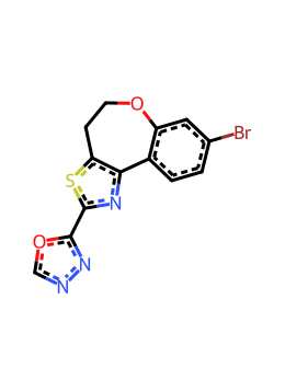 Brc1ccc2c(c1)OCCc1sc(-c3nnco3)nc1-2